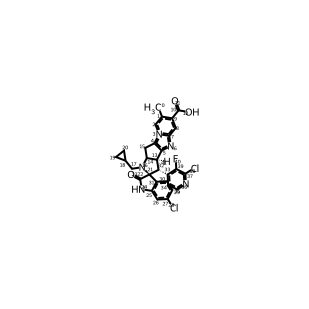 Cc1cn2c3c(nc2cc1C(=O)O)[C@@H]1C(C3)N(CC2CC2)[C@@]2(C(=O)Nc3cc(Cl)ccc32)[C@H]1c1ccnc(Cl)c1F